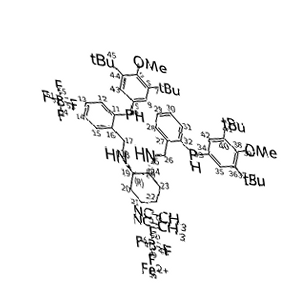 CC#N.CC#N.COc1c(C(C)(C)C)cc(Pc2ccccc2CN[C@@H]2CCCC[C@H]2NCc2ccccc2Pc2cc(C(C)(C)C)c(OC)c(C(C)(C)C)c2)cc1C(C)(C)C.F[B-](F)(F)F.F[B-](F)(F)F.[Fe+2]